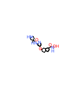 CC1(C(=O)Nc2cc(OC3CCc4ccc(C(=O)NO)cc4C3)ccn2)CCNCC1